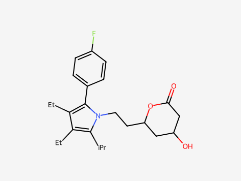 CCc1c(CC)c(C(C)C)n(CCC2CC(O)CC(=O)O2)c1-c1ccc(F)cc1